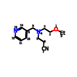 CCOCCN(CCC#N)Cc1cccnc1